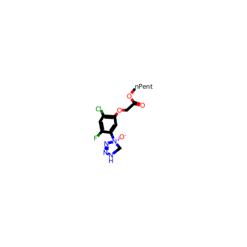 CCCCCOC(=O)COc1cc([N+]2([O-])CNN=N2)c(F)cc1Cl